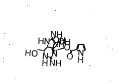 N=C1NC2[C@H](CO)NC(=N)N3C[C@H](OC(=O)c4ccc[nH]4)C(O)(O)C23N1